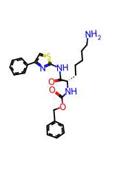 NCCCCC[C@H](NC(=O)OCc1ccccc1)C(=O)Nc1nc(-c2ccccc2)cs1